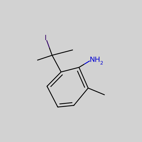 Cc1cccc(C(C)(C)I)c1N